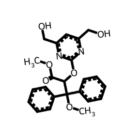 COC(=O)C(Oc1nc(CO)cc(CO)n1)C(OC)(c1ccccc1)c1ccccc1